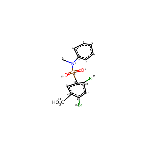 CN(c1ccccc1)S(=O)(=O)c1cc(C(=O)O)c(Br)cc1Br